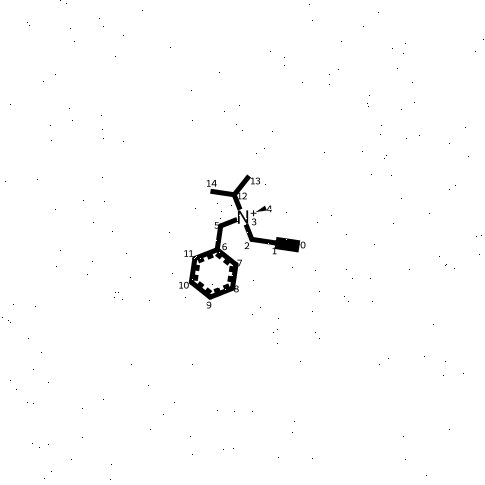 C#CC[N@+](C)(Cc1ccccc1)C(C)C